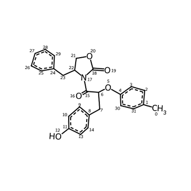 Cc1ccc(OC(Cc2ccc(O)cc2)C(=O)N2C(=O)OCC2Cc2ccccc2)cc1